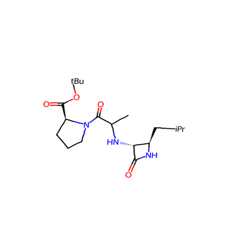 CC(C)C[C@H]1NC(=O)[C@@H]1NC(C)C(=O)N1CCC[C@H]1C(=O)OC(C)(C)C